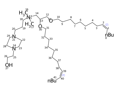 CCCC/C=C\CCCCCCCCOCC(C[N+](C)(C)CCCN1CCN(CCO)CC1)OCCCCCCCC/C=C\CCCC